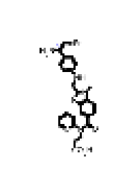 CCC/C=C(/N)c1ccc(NCc2nc3cc(C(=O)N(CCC(=O)O)c4ccccn4)ccc3n2C)cc1